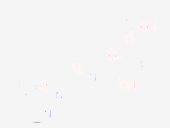 CCCC1[C@H](C(=O)N2CCC(O)(c3ccccc3OC(C)CCC3(C(=O)O)CCC3)CC2)CCCN1C(=O)c1ncccc1C(F)(F)F